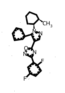 C[C@@H]1CCCC[C@@H]1n1ncc(-c2nc(-c3cc(F)ccc3F)no2)c1-c1ccccc1